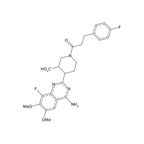 COc1cc2c(N)nc(C3CCN(C(=O)CCc4ccc(F)cc4)CC3C(=O)O)nc2c(F)c1OC